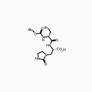 CC(C)C[C@H](NC(=O)OC(C)(C)C)C(=O)N[C@@H](CN1CCNC1=O)C(=O)O